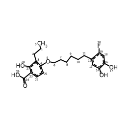 CCCc1c(OCCCCCCc2cc(O)c(O)cc2F)ccc(C(=O)O)c1O